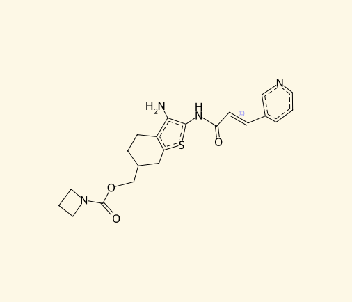 Nc1c(NC(=O)/C=C/c2cccnc2)sc2c1CCC(COC(=O)N1CCC1)C2